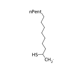 [CH2]C(S)CCCCCCCCCCCC